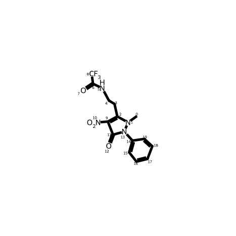 Cn1c(CCNC(=O)C(F)(F)F)c([N+](=O)[O-])c(=O)n1-c1ccccc1